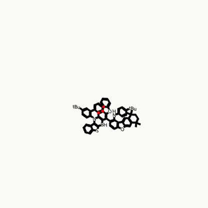 CC(C)(C)c1ccc(Nc2c(-c3c4c(cc5c3oc3ccccc35)N(c3ccc(C(C)(C)C)cc3-c3ccccc3)c3c(sc5ccccc35)B4)ccc3oc4cc5c(cc4c23)C(C)(C)CCC5(C)C)cc1